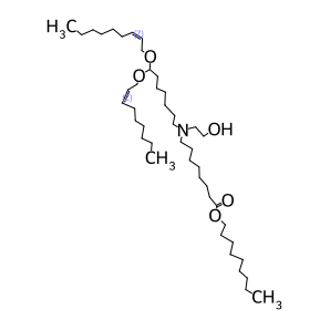 CCCCCC/C=C\COC(CCCCCCN(CCO)CCCCCCCC(=O)OCCCCCCCCC)OC/C=C\CCCCCC